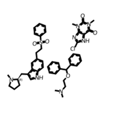 CN(C)CCOC(c1ccccc1)c1ccccc1.CN1CCC[C@@H]1Cc1c[nH]c2ccc(CCS(=O)(=O)c3ccccc3)cc12.Cn1c(=O)c2[nH]c(Cl)nc2n(C)c1=O